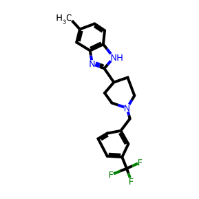 Cc1ccc2[nH]c(C3CCN(Cc4cccc(C(F)(F)F)c4)CC3)nc2c1